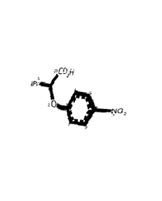 CC(C)C(Oc1ccc([N+](=O)[O-])cc1)C(=O)O